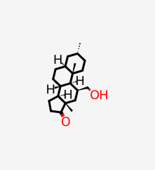 C[C@@H]1CC[C@@]2(C)[C@@H](CC[C@@H]3[C@@H]2[C@@H](CO)C[C@]2(C)C(=O)CC[C@@H]32)C1